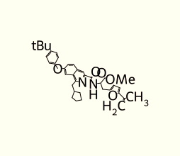 C=C(C)c1ccc(CC(NC(=O)c2cc3ccc(Oc4ccc(C(C)(C)C)cc4)cc3c(CC3CCCC3)n2)C(=O)OC)o1